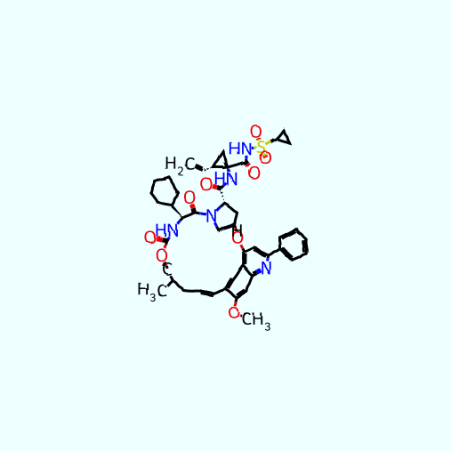 C=C[C@@H]1C[C@]1(NC(=O)[C@@H]1C[C@@H]2CN1C(=O)[C@H](C1CCCCC1)NC(=O)OCC(C)C/C=C/c1cc3c(cc(-c4ccccc4)nc3cc1OC)O2)C(=O)NS(=O)(=O)C1CC1